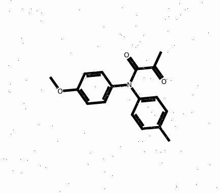 COc1ccc(N(C(=O)C(C)=O)c2ccc(C)cc2)cc1